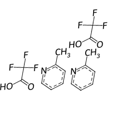 Cc1ccccn1.Cc1ccccn1.O=C(O)C(F)(F)F.O=C(O)C(F)(F)F